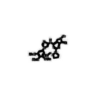 COc1cc(-n2cnc(Nc3nc(N4CCC[C@@H]4CO)nc4c3CN(C(C)C)C4=O)c2)cc(OC)c1OC